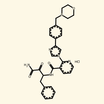 Cl.NC(=O)C(=O)C(Cc1ccccc1)NC(=O)c1cccnc1-n1cnc(-c2ccc(CN3CCOCC3)cc2)c1